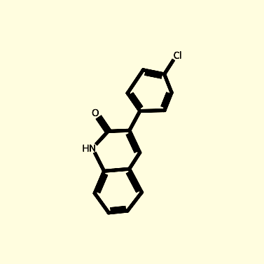 O=c1[nH]c2ccccc2cc1-c1ccc(Cl)cc1